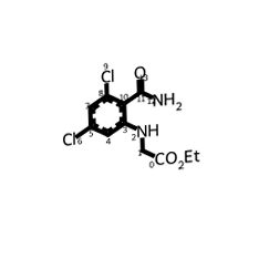 CCOC(=O)CNc1cc(Cl)cc(Cl)c1C(N)=O